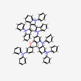 c1ccc(N(c2ccccc2)c2ccc3c(c2)Oc2cc(-n4c5ccccc5c5c6c(c7ccccc7n6-c6ccccc6)c6c(c7ccccc7n6-c6ccccc6)c54)cc4c2B3c2ccc(N(c3ccccc3)c3ccccc3)cc2N4c2ccccc2)cc1